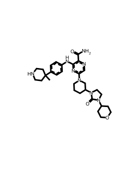 CC1(c2ccc(Nc3nc(N4CCCC(N5CCN(C6CCOCC6)C5=O)C4)cnc3C(N)=O)cc2)CCNCC1